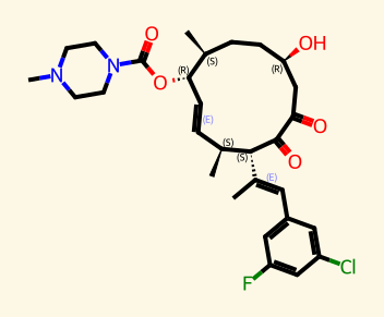 C/C(=C\c1cc(F)cc(Cl)c1)[C@H]1C(=O)C(=O)C[C@H](O)CC[C@H](C)[C@@H](OC(=O)N2CCN(C)CC2)/C=C/[C@@H]1C